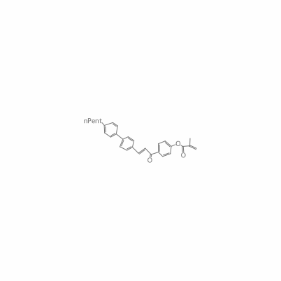 C=C(C)C(=O)Oc1ccc(C(=O)C=Cc2ccc(-c3ccc(CCCCC)cc3)cc2)cc1